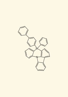 c1ccc(-c2ccc([Si]3(c4ccccc4)c4ccccc4-n4c5ccccc5c5cccc3c54)cc2)cc1